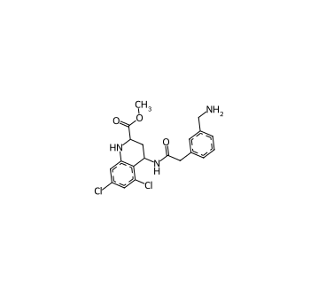 COC(=O)C1CC(NC(=O)Cc2cccc(CN)c2)c2c(Cl)cc(Cl)cc2N1